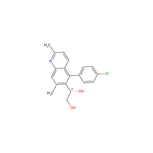 Cc1ccc2c(-c3ccc(Cl)cc3)c([C@H](O)CO)c(C)cc2n1